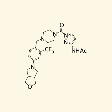 CC(=O)Nc1ccn(C(=O)N2CCN(Cc3ccc(N4CC5COCC5C4)cc3C(F)(F)F)CC2)n1